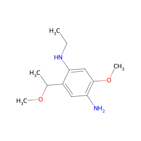 CCNc1cc(OC)c(N)cc1C(C)OC